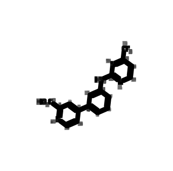 O=C(O)c1cc(-c2cccc(Nc3nccc(C(F)(F)F)n3)c2)ccn1